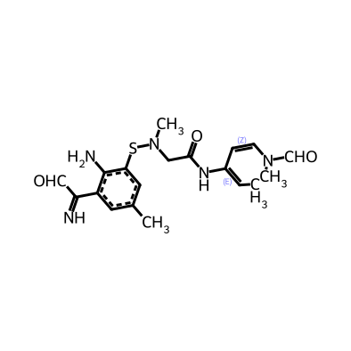 C/C=C(\C=C/N(C)C=O)NC(=O)CN(C)Sc1cc(C)cc(C(=N)C=O)c1N